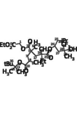 CCOC(=O)COC(=O)C(C)(CC(C)C(=O)OC(C)(C)C(C)(C)C)CC(C)(CC)C(=O)OC(CC(C)C)CC(C)(O)C(F)(F)F